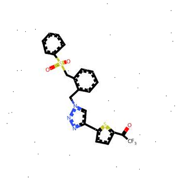 O=C(c1ccc(-c2cn(Cc3ccccc3CS(=O)(=O)c3ccccc3)nn2)s1)C(F)(F)F